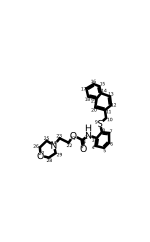 O=C(Nc1ccccc1SCc1ccc2ccccc2c1)OCCN1CCOCC1